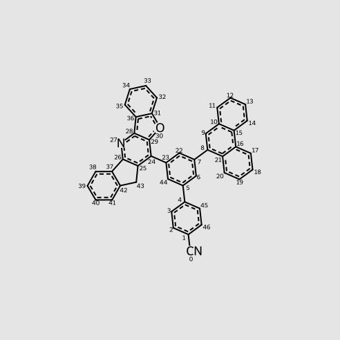 N#Cc1ccc(-c2cc(-c3cc4ccccc4c4ccccc34)cc(-c3c4c(nc5c3oc3ccccc35)-c3ccccc3C4)c2)cc1